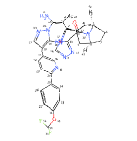 CC(=O)c1c([C@H]2C[C@H]3CC[C@@H](C2)N3C(=O)c2nnc[nH]2)nc2c(-c3ccc(-c4ccc(OC(F)F)cc4)nc3)cnn2c1N